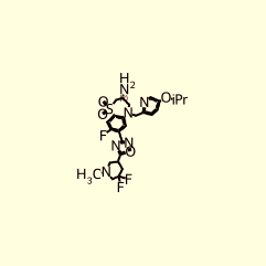 CC(C)Oc1ccc(CN2C[C@@H](N)CS(=O)(=O)c3cc(F)c(-c4noc(C5CN(C)CC(F)(F)C5)n4)cc32)nc1